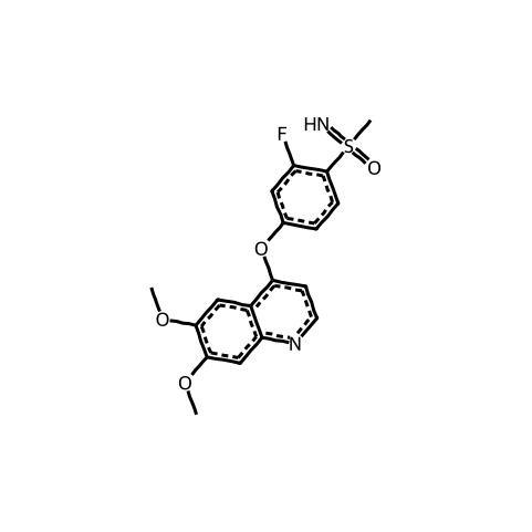 COc1cc2nccc(Oc3ccc(S(C)(=N)=O)c(F)c3)c2cc1OC